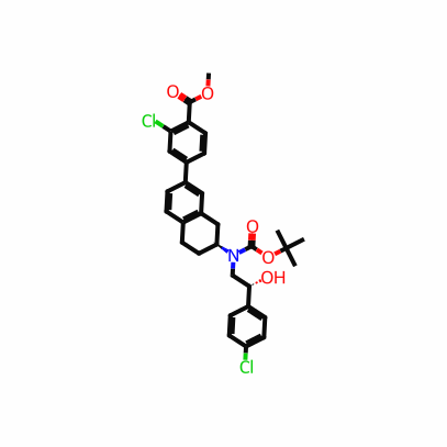 COC(=O)c1ccc(-c2ccc3c(c2)C[C@@H](N(C[C@H](O)c2ccc(Cl)cc2)C(=O)OC(C)(C)C)CC3)cc1Cl